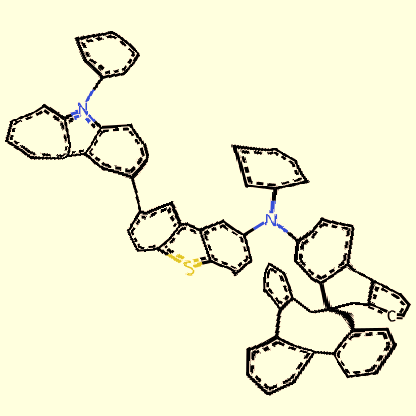 c1ccc(N(c2ccc3c(c2)C2(c4ccccc4-c4ccccc4-c4ccccc42)c2ccccc2-3)c2ccc3sc4ccc(-c5ccc6c(c5)c5ccccc5n6-c5ccccc5)cc4c3c2)cc1